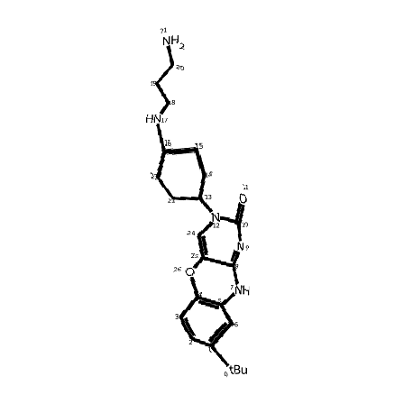 CC(C)(C)c1ccc2c(c1)Nc1nc(=O)n(C3CCC(NCCCN)CC3)cc1O2